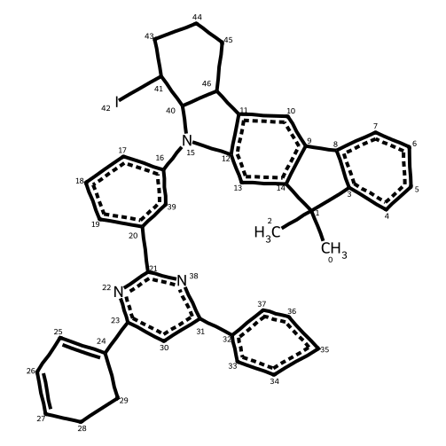 CC1(C)c2ccccc2-c2cc3c(cc21)N(c1cccc(-c2nc(C4=CC=CCC4)cc(-c4ccccc4)n2)c1)C1C(I)CCCC31